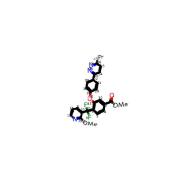 COC(=O)c1ccc(C(F)(F)c2cccnc2OC)c(Oc2ccc(-c3ccc(C(C)C)nn3)cc2)c1